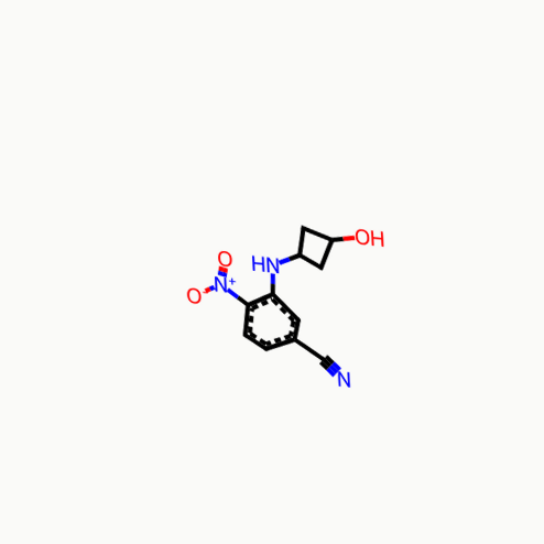 N#Cc1ccc([N+](=O)[O-])c(NC2CC(O)C2)c1